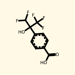 O=C(O)c1ccc(C(O)(C(F)F)C(F)(F)F)cc1